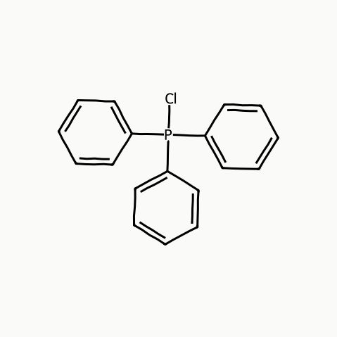 Cl[P](c1ccccc1)(c1ccccc1)c1ccccc1